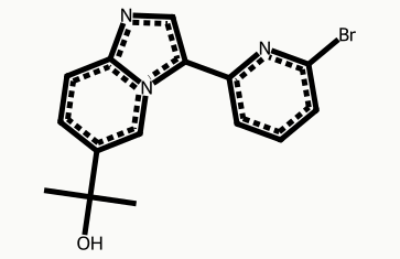 CC(C)(O)c1ccc2ncc(-c3cccc(Br)n3)n2c1